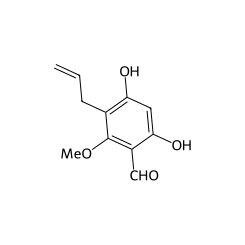 C=CCc1c(O)cc(O)c(C=O)c1OC